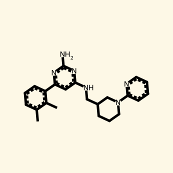 Cc1cccc(-c2cc(NCC3CCCN(c4ccccn4)C3)nc(N)n2)c1C